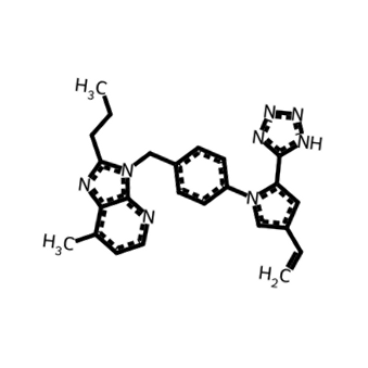 C=Cc1cc(-c2nnn[nH]2)n(-c2ccc(Cn3c(CCC)nc4c(C)ccnc43)cc2)c1